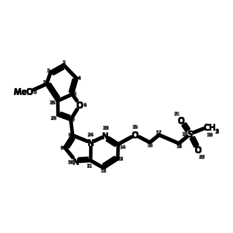 COc1cccc2oc(-c3cnc4ccc(OCCCS(C)(=O)=O)nn34)cc12